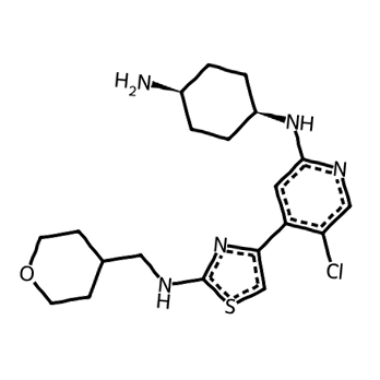 N[C@H]1CC[C@@H](Nc2cc(-c3csc(NCC4CCOCC4)n3)c(Cl)cn2)CC1